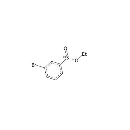 CCO[S@@](=O)c1cccc(Br)c1